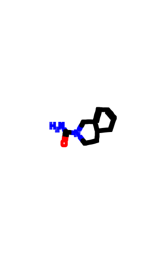 NC(=O)N1CCC2CC=CC=C2C1